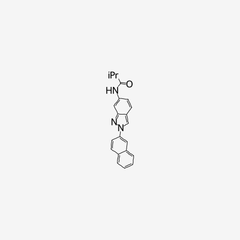 CC(C)C(=O)Nc1ccc2cn(-c3ccc4ccccc4c3)nc2c1